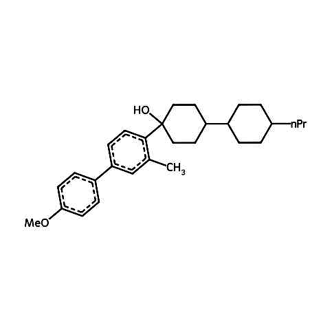 CCCC1CCC(C2CCC(O)(c3ccc(-c4ccc(OC)cc4)cc3C)CC2)CC1